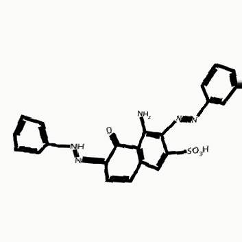 Nc1c(/N=N/c2ccccc2)c(S(=O)(=O)O)cc2c1C(=O)/C(=N\Nc1ccccc1)C=C2